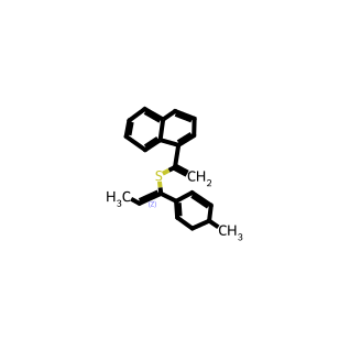 C=C(S/C(=C\C)C1=CCC(C)C=C1)c1cccc2ccccc12